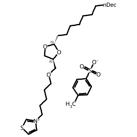 CCCCCCCCCCCCCCCCC[C@H]1OC[C@H](COCCCCC[n+]2ccsc2)O1.Cc1ccc(S(=O)(=O)[O-])cc1